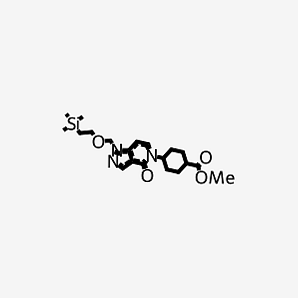 COC(=O)C1CCC(n2ccc3c(cnn3COCC[Si](C)(C)C)c2=O)CC1